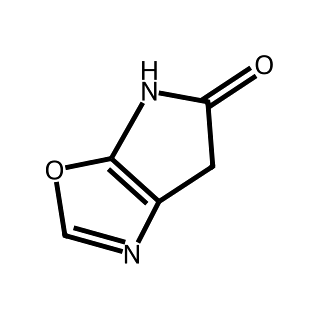 O=C1Cc2ncoc2N1